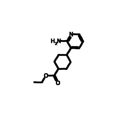 CCOC(=O)C1CCC(c2cccnc2N)CC1